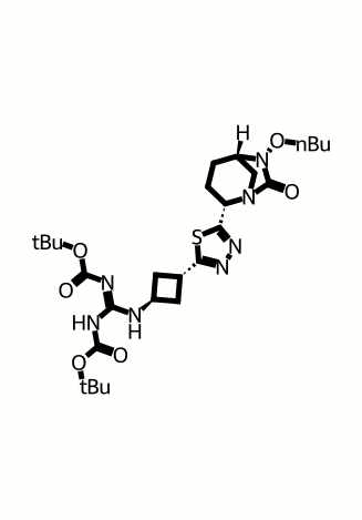 CCCCON1C(=O)N2C[C@@H]1CC[C@H]2c1nnc([C@H]2C[C@H](NC(=NC(=O)OC(C)(C)C)NC(=O)OC(C)(C)C)C2)s1